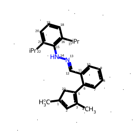 CC1=CC(C)=C(c2ccccc2C=NNc2c(C(C)C)cccc2C(C)C)C1